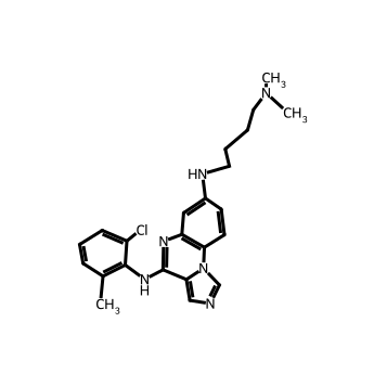 Cc1cccc(Cl)c1Nc1nc2cc(NCCCCN(C)C)ccc2n2cncc12